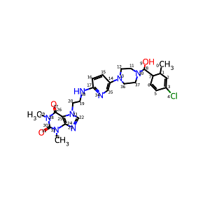 CC1C=C(Cl)C=CC1C(O)N1CCN(c2ccc(NCCn3cnc4c3c(=O)n(C)c(=O)n4C)nc2)CC1